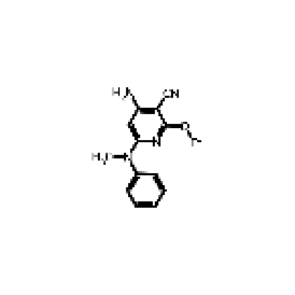 CCOc1nc(N(C)c2ccccc2)cc(N)c1C#N